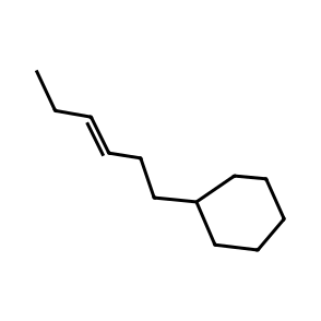 CCC=CCCC1CCCCC1